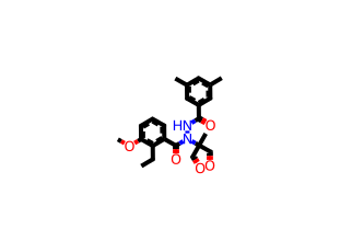 CCc1c(OC)cccc1C(=O)N(NC(=O)c1cc(C)cc(C)c1)C(C)(C=O)C=O